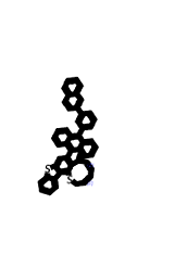 C=C1/C=C\C=C/CSc2c1c(-c1c3ccccc3c(-c3cccc(-c4ccc5ccccc5c4)c3)c3ccccc13)cc1sc3ccccc3c21